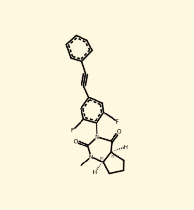 CN1C(=O)N(c2c(F)cc(C#Cc3ccccc3)cc2F)C(=O)[C@H]2CCC[C@H]21